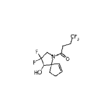 O=C(CCC(F)(F)F)N1CC(F)(F)C(O)C12C=CCC2